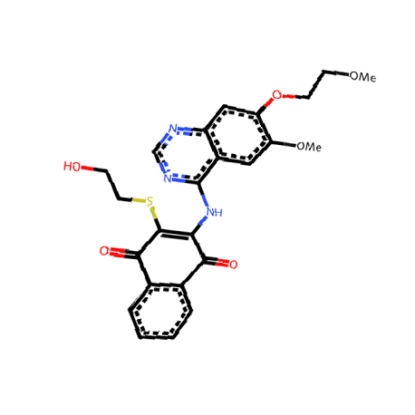 COCCOc1cc2ncnc(NC3=C(SCCO)C(=O)c4ccccc4C3=O)c2cc1OC